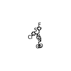 Fc1ccc2c(c1)Sc1ccc(Cl)cc1C(N1CCN(CCC3OCCO3)CC1)C2